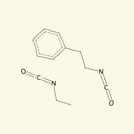 CCN=C=O.O=C=NCCc1ccccc1